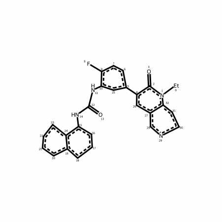 CCn1c(=O)c(-c2ccc(F)c(NC(=O)Nc3cccc4ccccc34)c2)cc2cnccc21